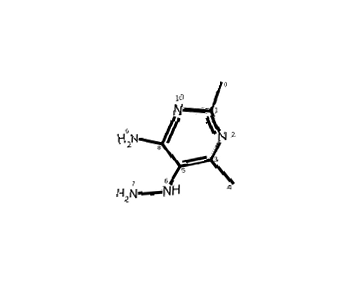 Cc1nc(C)c(NN)c(N)n1